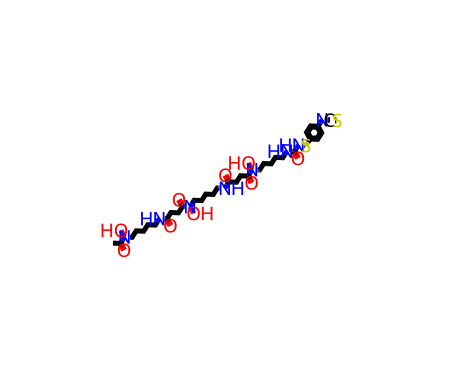 CC(=O)N(O)CCCCCNC(=O)CCC(=O)N(O)CCCCCNC(=O)CCC(=O)N(O)CCCCCNC(=O)NSc1ccc(N=C=S)cc1